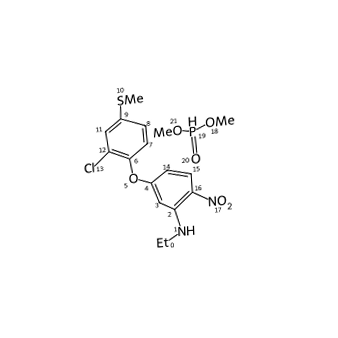 CCNc1cc(Oc2ccc(SC)cc2Cl)ccc1[N+](=O)[O-].CO[PH](=O)OC